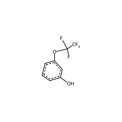 Oc1cccc(OC(F)(F)C(F)(F)F)c1